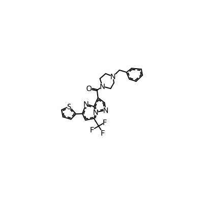 O=C(c1cnn2c(C(F)(F)F)cc(-c3cccs3)nc12)N1CCN(Cc2ccccc2)CC1